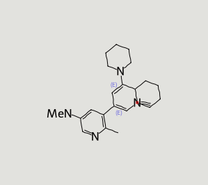 C=N/C=C(\C=C(/C1CCCCC1)N1CCCCC1)c1cc(NC)cnc1C